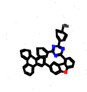 CCCCc1ccc(-c2nc(-c3ccccc3)nc(-c3cccc4oc5ccc(-c6ccc7c8ccccc8c8ccccc8c7c6)cc5c34)n2)cc1